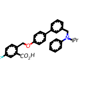 CC(C)N(Cc1cccc(-c2ccc(OCc3ccc(F)cc3C(=O)O)cc2)c1)c1ccccc1